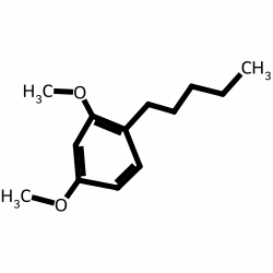 CCCCCc1ccc(OC)cc1OC